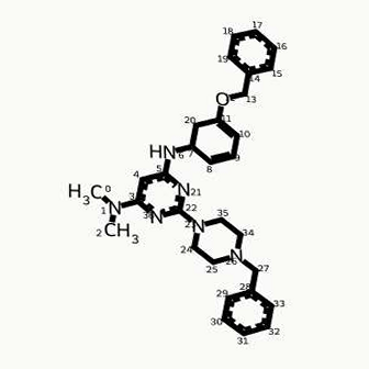 CN(C)c1cc(NC2C=CC=C(OCc3ccccc3)C2)nc(N2CCN(Cc3ccccc3)CC2)n1